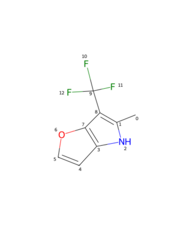 Cc1[nH]c2ccoc2c1C(F)(F)F